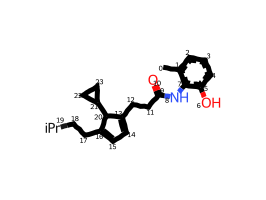 Cc1cccc(O)c1NC(=O)CCC1=CC=C(CCC(C)C)C1C1CC1